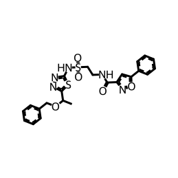 CC(OCc1ccccc1)c1nnc(NS(=O)(=O)CCNC(=O)c2cc(-c3ccccc3)on2)s1